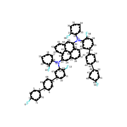 Fc1ccc(-c2ccc(-c3ccc(F)c(N(c4ccccc4F)c4cc5cccc6c(N(c7ccccc7F)c7cc(-c8ccc(-c9ccc(F)cc9)cc8)ccc7F)cc7cccc4c7c56)c3)cc2)cc1